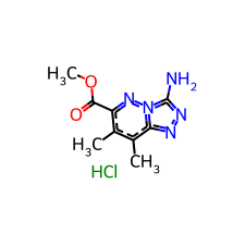 COC(=O)c1nn2c(N)nnc2c(C)c1C.Cl